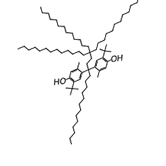 CCCCCCCCCCCCCC(CCCCCCCCCCCCC)(CCCCCCCCCCCCC)CCC(CCCCCCCCCCCCC)(c1cc(C(C)(C)C)c(O)cc1C)c1cc(C(C)(C)C)c(O)cc1C